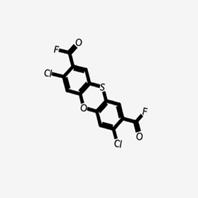 O=C(F)c1cc2c(cc1Cl)Oc1cc(Cl)c(C(=O)F)cc1S2